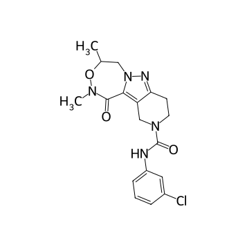 CC1Cn2nc3c(c2C(=O)N(C)O1)CN(C(=O)Nc1cccc(Cl)c1)CC3